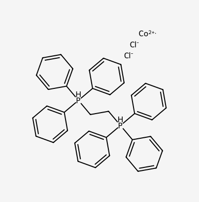 [Cl-].[Cl-].[Co+2].c1ccc([PH](CC[PH](c2ccccc2)(c2ccccc2)c2ccccc2)(c2ccccc2)c2ccccc2)cc1